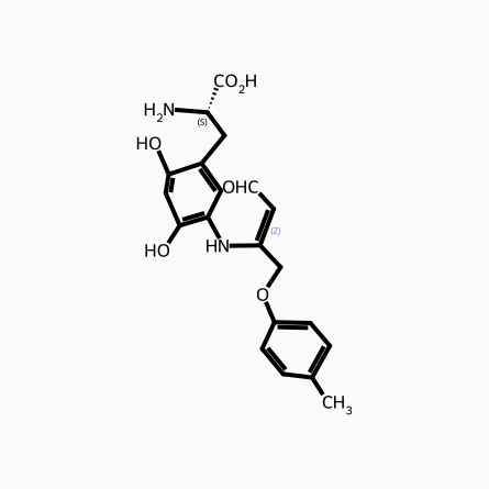 Cc1ccc(OC/C(=C/C=O)Nc2cc(C[C@H](N)C(=O)O)c(O)cc2O)cc1